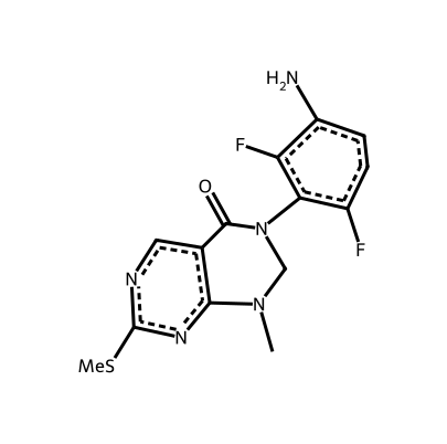 CSc1ncc2c(n1)N(C)CN(c1c(F)ccc(N)c1F)C2=O